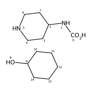 O=C(O)NC1CCNCC1.OC1CCCCC1